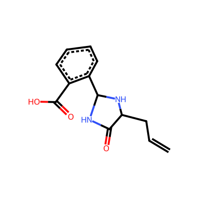 C=CCC1NC(c2ccccc2C(=O)O)NC1=O